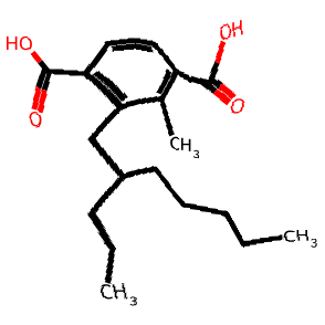 CCCCCC(CCC)Cc1c(C(=O)O)ccc(C(=O)O)c1C